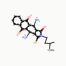 COC(C)CCn1c(=O)c2c(N)c3c(=O)c4ccccc4c(=O)c3c(N)c2c1=S